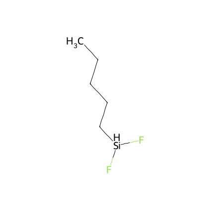 CCCCC[SiH](F)F